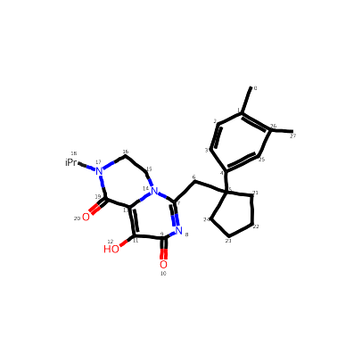 Cc1ccc(C2(Cc3nc(=O)c(O)c4n3CCN(C(C)C)C4=O)CCCC2)cc1C